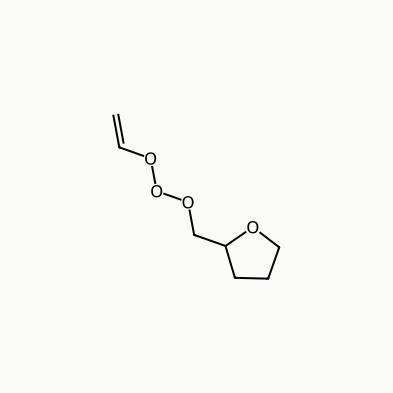 C=COOOCC1CCCO1